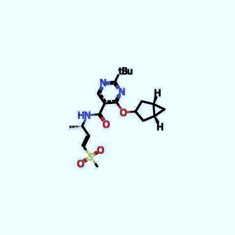 C[C@@H](/C=C/S(C)(=O)=O)NC(=O)c1cnc(C(C)(C)C)nc1OC1C[C@@H]2C[C@@H]2C1